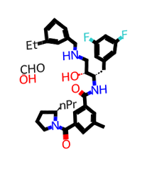 CCC[C@H]1CCCN1C(=O)c1cc(C)cc(C(=O)N[C@@H](Cc2cc(F)cc(F)c2)[C@H](O)CNCc2cccc(CC)c2)c1.O=CO